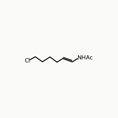 CC(=O)N/C=C/CCCCCl